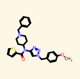 COc1ccc(Cn2cc(N(C(=O)c3cccs3)C3CCN(Cc4ccccc4)CC3)nn2)cc1